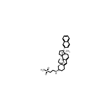 C[C@]12CC=C3C=C4CC[C@@H](NCCS(N)(=O)=O)C[C@]45CC[C@]3(O5)[C@@H]1CC[C@@H]2c1ccc2ccccc2c1